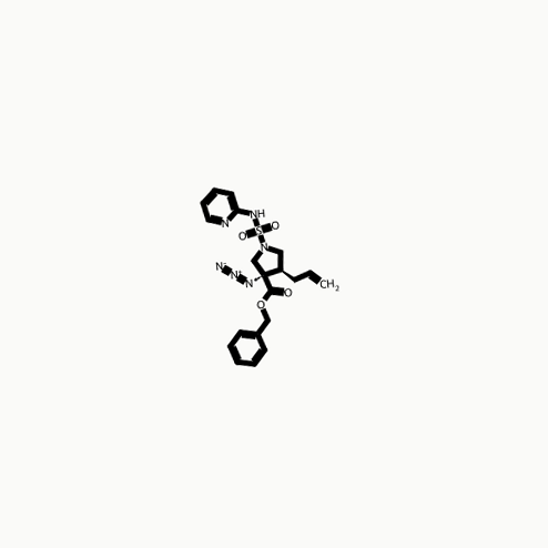 C=CC[C@@H]1CN(S(=O)(=O)Nc2ccccn2)C[C@]1(N=[N+]=[N-])C(=O)OCc1ccccc1